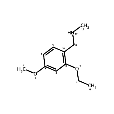 CCOc1cc(OC)ccc1CNC